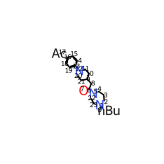 CCCCN1CCCN(C(=O)CC2CCN(c3ccc(C(C)=O)cc3)CC2)CC1